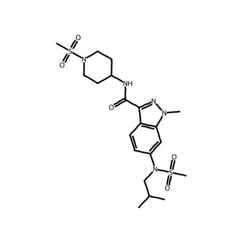 CC(C)CN(c1ccc2c(C(=O)NC3CCN(S(C)(=O)=O)CC3)nn(C)c2c1)S(C)(=O)=O